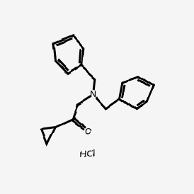 Cl.O=C(CN(Cc1ccccc1)Cc1ccccc1)C1CC1